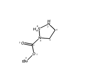 CC(C)(C)OC(=O)N1CCN[SH4]1